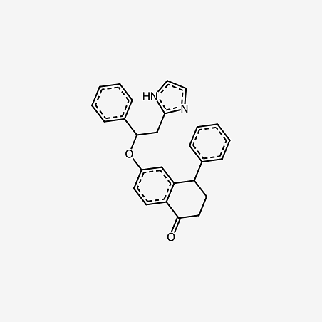 O=C1CCC(c2ccccc2)c2cc(OC(Cc3ncc[nH]3)c3ccccc3)ccc21